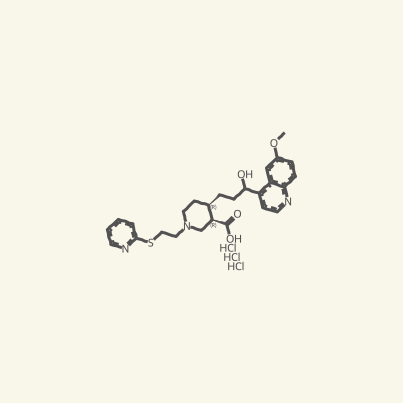 COc1ccc2nccc(C(O)CC[C@@H]3CCN(CCSc4ccccn4)C[C@@H]3C(=O)O)c2c1.Cl.Cl.Cl